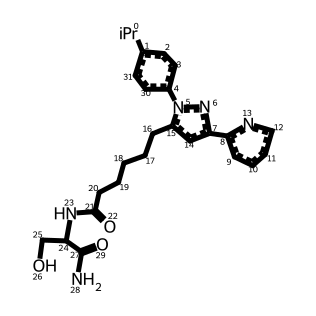 CC(C)c1ccc(-n2nc(-c3ccccn3)cc2CCCCCC(=O)NC(CO)C(N)=O)cc1